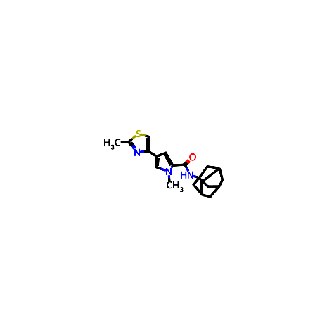 Cc1nc(-c2cc(C(=O)NC34CC5CC(CC(C5)C3)C4)n(C)c2)cs1